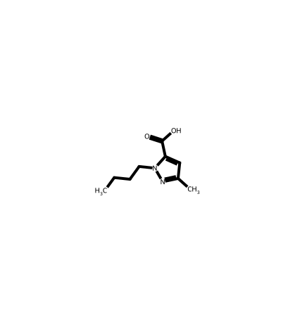 CCCCn1nc(C)cc1C(=O)O